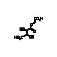 O=C(O)COC(=O)C(O)C(O)C(=O)O